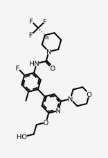 Cc1cc(F)c(NC(=O)N2CCC[C@@H](C(F)(F)F)C2)cc1-c1cc(OCCO)nc(N2CCOCC2)c1